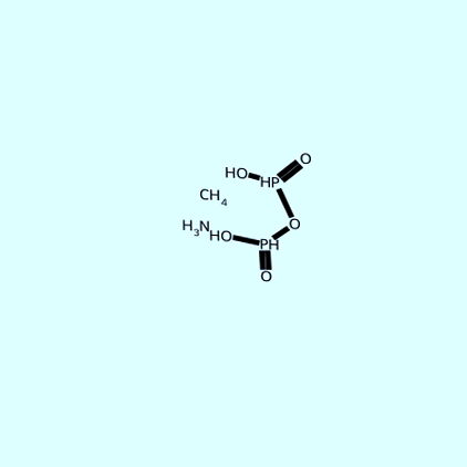 C.N.O=[PH](O)O[PH](=O)O